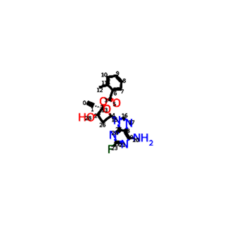 C#C[C@]1(OC(=O)c2ccccc2C)O[C@@H](n2cnc3c(N)nc(F)nc32)C[C@@H]1O